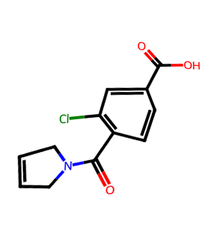 O=C(O)c1ccc(C(=O)N2CC=CC2)c(Cl)c1